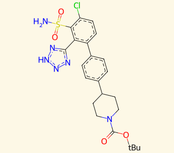 CC(C)(C)OC(=O)N1CCC(c2ccc(-c3ccc(Cl)c(S(N)(=O)=O)c3-c3nn[nH]n3)cc2)CC1